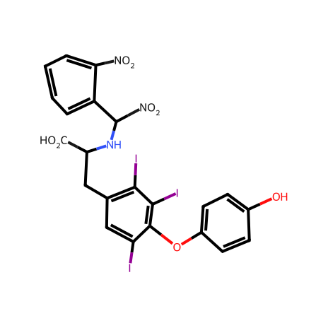 O=C(O)C(Cc1cc(I)c(Oc2ccc(O)cc2)c(I)c1I)NC(c1ccccc1[N+](=O)[O-])[N+](=O)[O-]